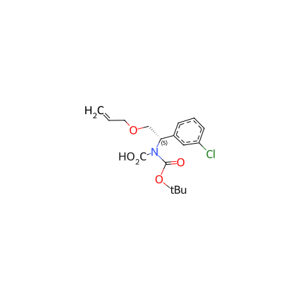 C=CCOC[C@H](c1cccc(Cl)c1)N(C(=O)O)C(=O)OC(C)(C)C